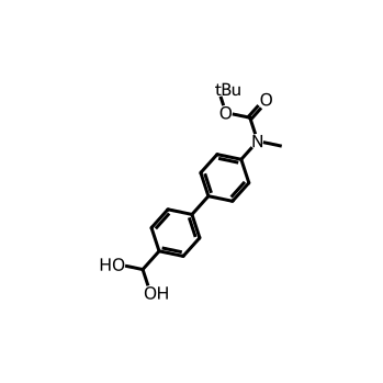 CN(C(=O)OC(C)(C)C)c1ccc(-c2ccc(C(O)O)cc2)cc1